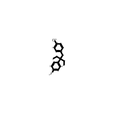 CCC(CC)(Cc1ccc(Cl)cc1)c1ccc(F)cc1